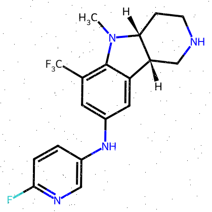 CN1c2c(cc(Nc3ccc(F)nc3)cc2C(F)(F)F)[C@H]2CNCC[C@H]21